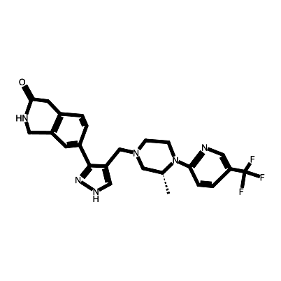 C[C@@H]1CN(Cc2c[nH]nc2-c2ccc3c(c2)CNC(=O)C3)CCN1c1ccc(C(F)(F)F)cn1